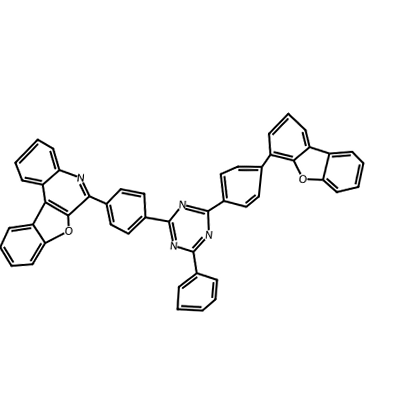 c1ccc(-c2nc(-c3ccc(-c4cccc5c4oc4ccccc45)cc3)nc(-c3ccc(-c4nc5ccccc5c5c4oc4ccccc45)cc3)n2)cc1